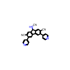 N#CNC1c2cc(C#N)c(-c3ccncc3)cc2-c2cc(-c3ccncc3)c(C#N)cc21